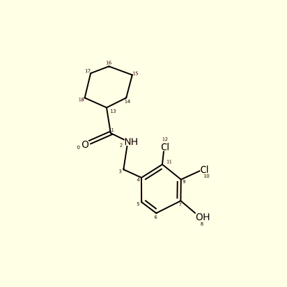 O=C(NCc1ccc(O)c(Cl)c1Cl)C1CCCCC1